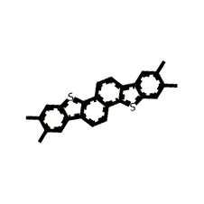 Cc1cc2sc3c(ccc4c3ccc3c5cc(C)c(C)cc5sc34)c2cc1C